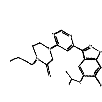 CCCN1CCN(c2cc(-c3n[nH]c4cc(F)c(OC(C)C)cc34)ncn2)CC1=O